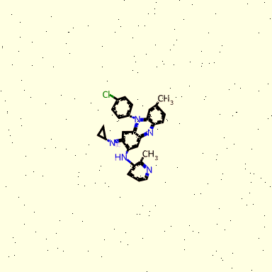 Cc1ccc2nc3cc(Nc4cccnc4C)/c(=N/C4CC4)cc-3n(-c3ccc(Cl)cc3)c2c1